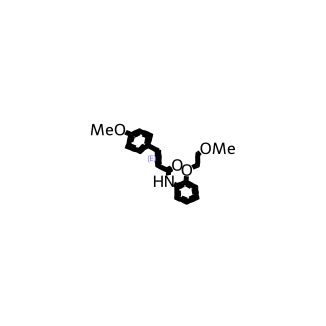 COCCOc1ccccc1NC(=O)/C=C/c1ccc(OC)cc1